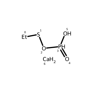 CCSO[PH](=O)O.[CaH2]